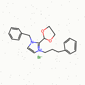 [Br-].c1ccc(CCC[n+]2ccn(Cc3ccccc3)c2C2OCCO2)cc1